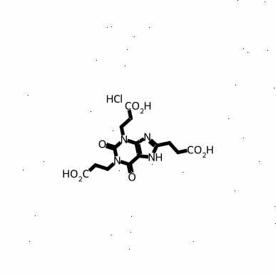 Cl.O=C(O)CCc1nc2c([nH]1)c(=O)n(CCC(=O)O)c(=O)n2CCC(=O)O